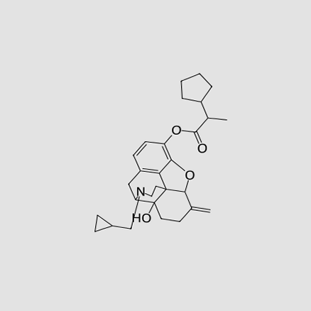 C=C1CCC2(O)C3Cc4ccc(OC(=O)C(C)C5CCCC5)c5c4C2(CCN3CC2CC2)C1O5